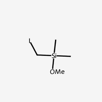 CO[Si](C)(C)CI